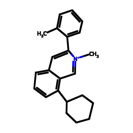 Cc1ccccc1-c1cc2cccc(C3CCCCC3)c2c[n+]1C